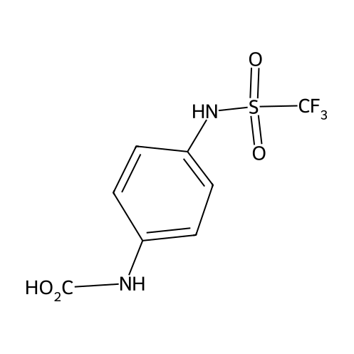 O=C(O)Nc1ccc(NS(=O)(=O)C(F)(F)F)cc1